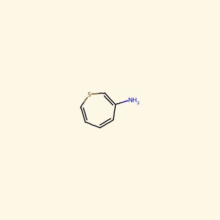 NC1=CSC=CC=C1